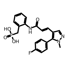 Cn1ncc(/C=C/C(=O)Nc2ccccc2CP(=O)(O)O)c1-c1ccc(F)cc1